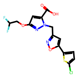 O=C(O)c1cc(OCC(F)F)nn1Cc1cc(-c2ccc(Cl)s2)on1